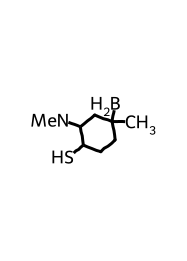 BC1(C)CCC(S)C(NC)C1